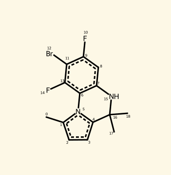 Cc1ccc2n1-c1c(cc(F)c(Br)c1F)NC2(C)C